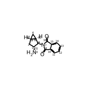 N[C@H]1C[C@@H]2C[C@H]2[C@H]1N1C(=O)c2ccccc2C1=O